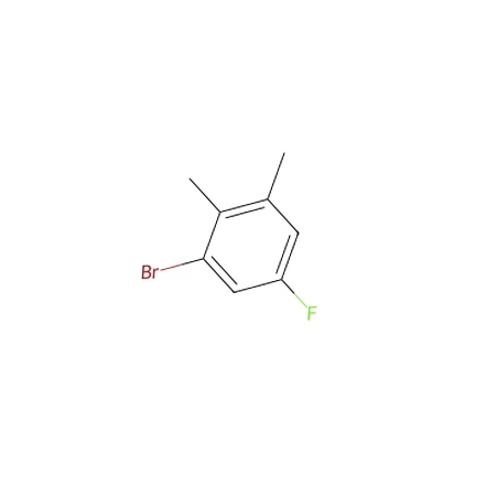 Cc1cc(F)cc(Br)c1C